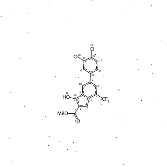 COC(=O)c1cc2c(C(F)(F)F)cc(-c3ccc(Cl)c(Cl)c3)cc2n1O